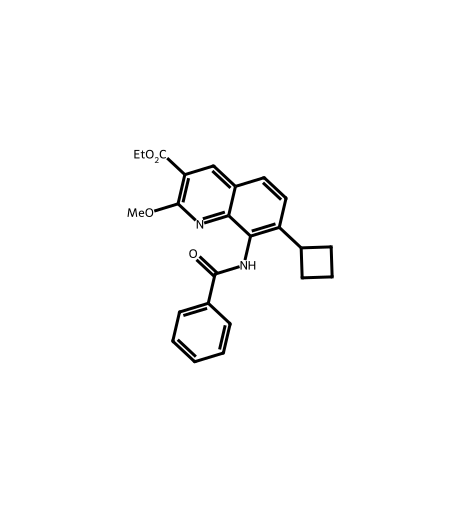 CCOC(=O)c1cc2ccc(C3CCC3)c(NC(=O)c3ccccc3)c2nc1OC